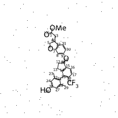 COC(=O)C[C@@H]1COc2cc(O[C@@H]3CCc4c3ccc(C(F)(F)F)c4-c3c(C)cc(O)cc3C)ccc21